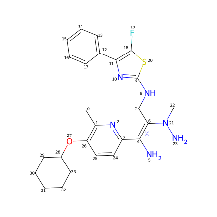 Cc1nc(/C(N)=C(\CNc2nc(-c3ccccc3)c(F)s2)N(C)N)ccc1OC1CCCCC1